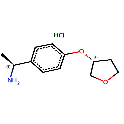 C[C@H](N)c1ccc(O[C@@H]2CCOC2)cc1.Cl